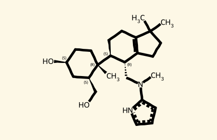 CN(C[C@H]1C2=C(CC[C@@H]1[C@@]1(C)CC[C@H](O)C[C@@H]1CO)C(C)(C)CC2)c1ccc[nH]1